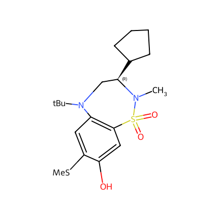 CSc1cc2c(cc1O)S(=O)(=O)N(C)[C@H](C1CCCC1)CN2C(C)(C)C